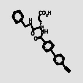 C#Cc1ccc(-c2ccc(C(=O)N[C@@H](CCC(=O)O)C(=O)NCc3ccccc3)cc2)cc1